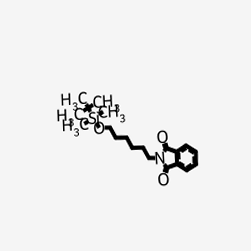 CC(C)(C)[Si](C)(C)OCCCCCCN1C(=O)c2ccccc2C1=O